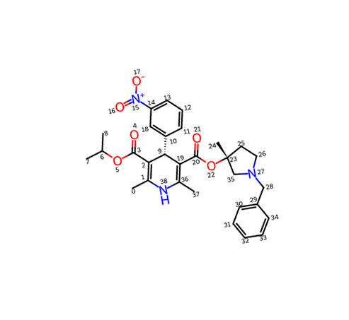 CC1=C(C(=O)OC(C)C)[C@H](c2cccc([N+](=O)[O-])c2)C(C(=O)O[C@]2(C)CCN(Cc3ccccc3)C2)=C(C)N1